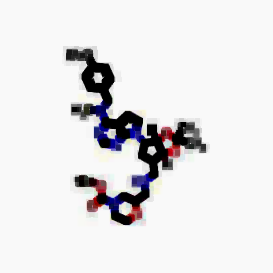 COc1ccc(CN(C)c2ncnc3c2ccn3[C@@H]2CC(CNCC3CN(C(=O)OC(C)(C)C)CCO3)[C@H]3OC(C)(C)O[C@H]32)cc1